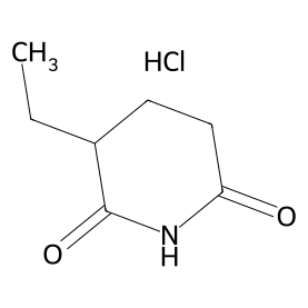 CCC1CCC(=O)NC1=O.Cl